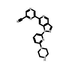 N#Cc1cncc(-c2cc3c(cn2)cnn3-c2cccc(N3CCNCC3)n2)n1